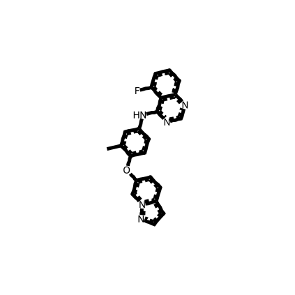 Cc1cc(Nc2ncnc3cccc(F)c23)ccc1Oc1ccc2ccnn2c1